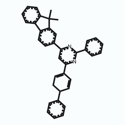 CC1(C)c2ccccc2-c2ccc(-c3cc(C4=CCC(c5ccccc5)C=C4)nc(-c4ccccc4)n3)cc21